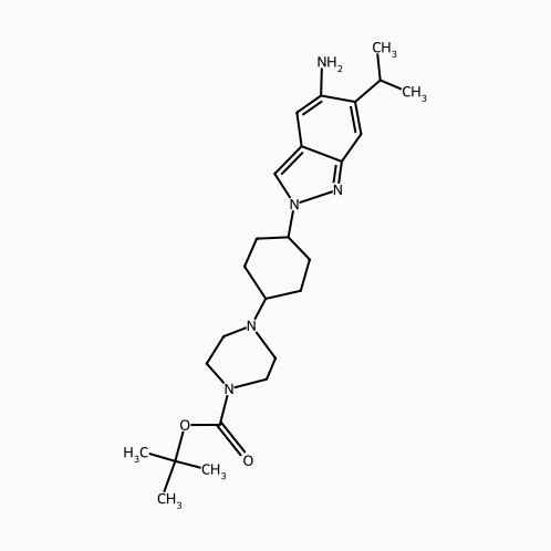 CC(C)c1cc2nn(C3CCC(N4CCN(C(=O)OC(C)(C)C)CC4)CC3)cc2cc1N